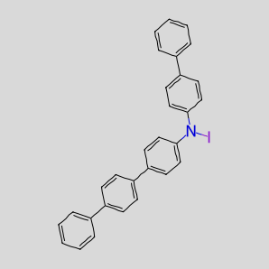 IN(c1ccc(-c2ccccc2)cc1)c1ccc(-c2ccc(-c3ccccc3)cc2)cc1